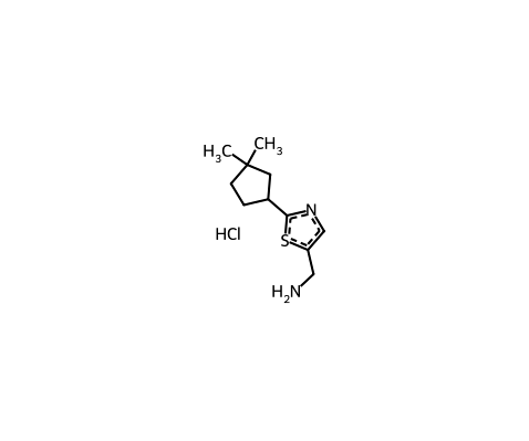 CC1(C)CCC(c2ncc(CN)s2)C1.Cl